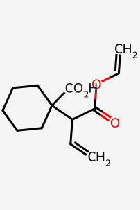 C=COC(=O)C(C=C)C1(C(=O)O)CCCCC1